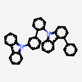 c1ccc(-c2cccc3c2c2ccccc2n3-c2ccccc2-c2cccc(-n3c4ccccc4c4ccccc43)c2)cc1